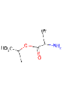 CC(OC(=O)C(N)C(C)C)C(=O)O